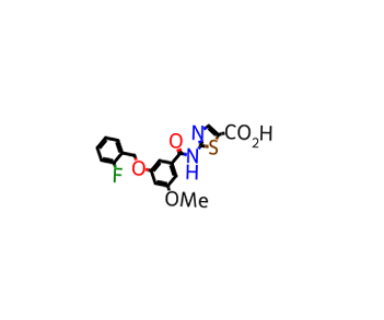 COc1cc(OCc2ccccc2F)cc(C(=O)Nc2ncc(C(=O)O)s2)c1